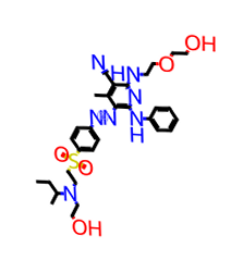 CCC(C)N(CCO)CCS(=O)(=O)c1ccc(/N=N/c2c(Nc3ccccc3)nc(NCCOCCO)c(C#N)c2C)cc1